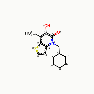 O=C(O)c1c(O)c(=O)n(CC2CCCCC2)c2ccsc12